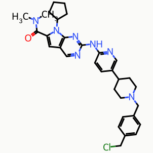 CN(C)C(=O)c1cc2cnc(Nc3ccc(C4CCN(Cc5ccc(CCl)cc5)CC4)cn3)nc2n1C1CCCC1